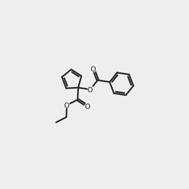 CCOC(=O)C1(OC(=O)c2ccccc2)C=CC=C1